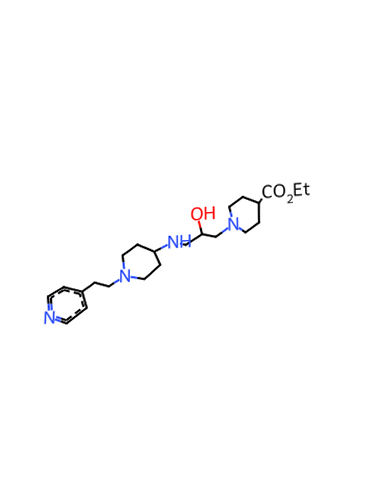 CCOC(=O)C1CCN(CC(O)CNC2CCN(CCc3ccncc3)CC2)CC1